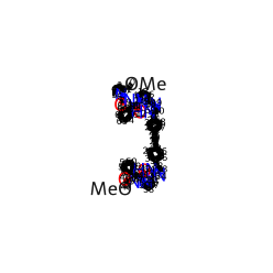 COC[C@@H]1CCCN1C(=O)N[C@@H](C(=O)N1CCC[C@H]1c1ncc(-c2ccc(C#Cc3ccc(-c4cnc([C@@H]5CCCN5C(=O)[C@H](NC(=O)OC)c5ccccc5)[nH]4)cc3)cc2)[nH]1)c1ccccc1